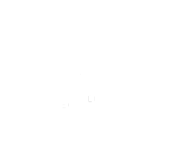 CC#CCOCC(CC)CC